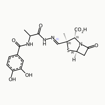 CC(NC(=O)c1ccc(O)c(O)c1)C(=O)N/N=C/[C@]1(C)S[C@@H]2CC(=O)N2[C@H]1C(=O)O